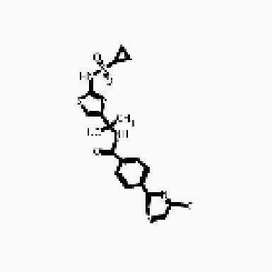 CC(C)(NC(=O)c1ccc(-c2cncc(Cl)n2)cc1)c1csc(NS(=O)(=O)C2CC2)n1